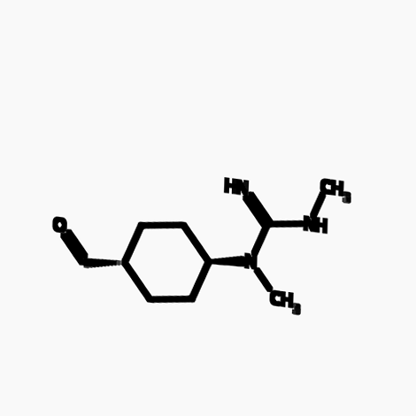 CNC(=N)N(C)[C@H]1CC[C@H](C=O)CC1